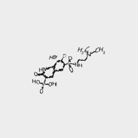 Br.CN(C)CCNS(=O)(=O)c1cc2cc(P(=O)(O)O)c(=O)[nH]c2cc1Cl